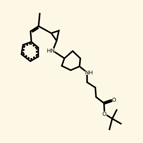 CC(=Cc1ccccc1)C1CC1NC1CCC(NCCCC(=O)OC(C)(C)C)CC1